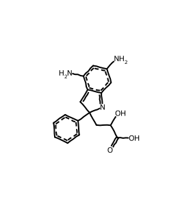 Nc1cc(N)c2c(c1)=NC(CC(O)C(=O)O)(c1ccccc1)C=2